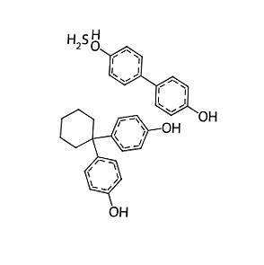 Oc1ccc(-c2ccc(O)cc2)cc1.Oc1ccc(C2(c3ccc(O)cc3)CCCCC2)cc1.S